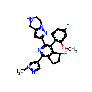 COc1cc(F)ccc1-c1c(-c2cc3n(n2)CCNC3)nc(-c2cnn(C)c2)c2c1C(F)CC2